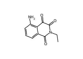 CCN1C(=O)C(=O)c2c(N)cccc2C1=O